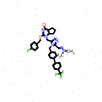 CN(C)N=Cc1nnc(Cn2c(SCc3ccc(F)cc3)nc(=O)c3c2CCC3)n1Cc1ccc(-c2ccc(C(F)(F)F)cc2)cc1